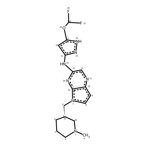 CN1CCC[C@H](Cn2ccc3ncc(Nc4cc(OC(F)F)[nH]n4)nc32)C1